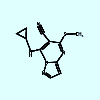 CSc1nc2ccnn2c(NC2CC2)c1C#N